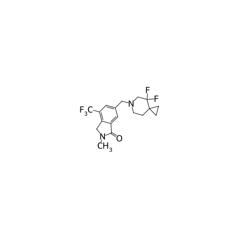 CN1Cc2c(cc(CN3CCC4(CC4)C(F)(F)C3)cc2C(F)(F)F)C1=O